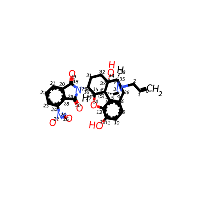 C=CCN1CC[C@]23c4c5ccc(O)c4O[C@H]2[C@H](N2C(=O)c4cccc([N+](=O)[O-])c4C2=O)CC[C@@]3(O)[C@H]1C5